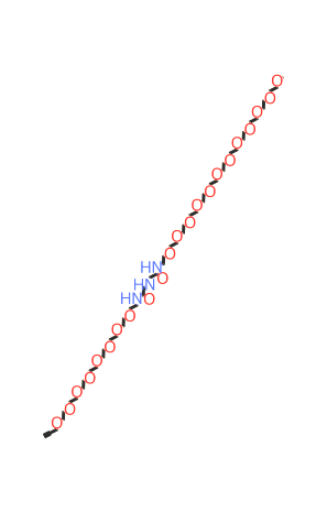 C#CCOCCOCCOCCOCCOCCOCCOCCOCCNC(=O)CNCC(=O)NCCOCCOCCOCCOCCOCCOCCOCCOCCOCCOCCOCCOC